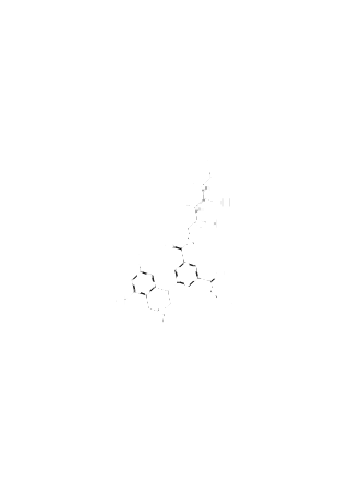 CN1Cc2c(Cl)cc(Cl)cc2C(c2cc(C(N)=O)cc(C(=O)NC[C@H](O)[C@@H](O)[C@H](O)[C@H](O)CO)c2)C1